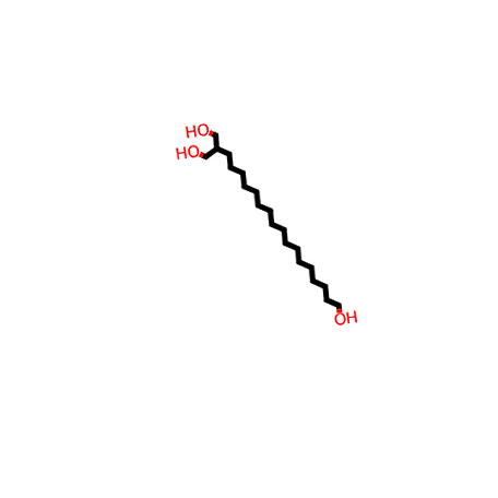 OCCCCCCCCCCCCCCCCCC(CO)CO